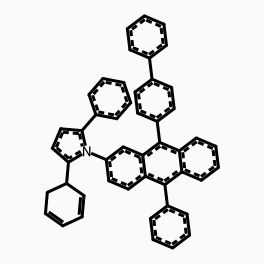 C1=CCC(c2ccc(-c3ccccc3)n2-c2ccc3c(-c4ccccc4)c4ccccc4c(-c4ccc(-c5ccccc5)cc4)c3c2)C=C1